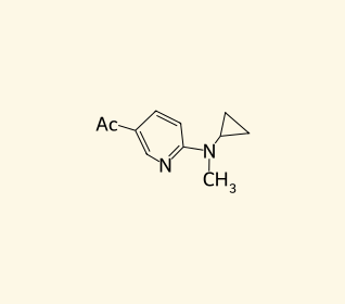 CC(=O)c1ccc(N(C)C2CC2)nc1